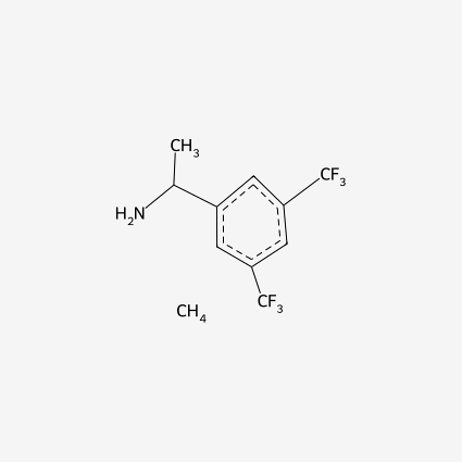 C.CC(N)c1cc(C(F)(F)F)cc(C(F)(F)F)c1